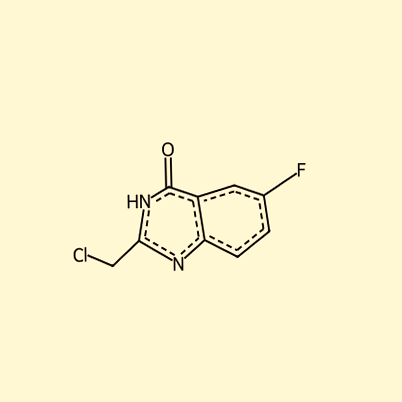 O=c1[nH]c(CCl)nc2ccc(F)cc12